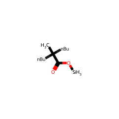 CCCCC(C)(CCCC)C(=O)O[SiH3]